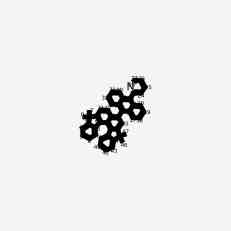 CC1(C)c2ccccc2-c2c1ccc1c(-c3c4ccccc4c(-c4ccccn4)c4ccccc34)cc3c(c21)-c1ccccc1C3(C)C